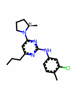 CCCc1cc(N2CCC[C@H]2C)nc(Nc2ccc(C)c(Cl)c2)n1